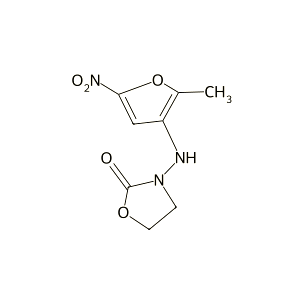 Cc1oc([N+](=O)[O-])cc1NN1CCOC1=O